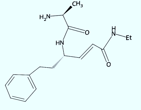 CCNC(=O)C=C[C@H](CCc1ccccc1)NC(=O)[C@H](C)N